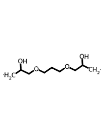 [CH2]C(O)COCCCOCC([CH2])O